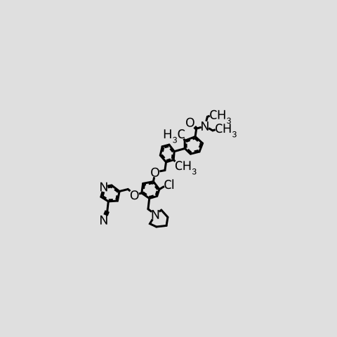 CCN(CC)C(=O)c1cccc(-c2cccc(COc3cc(OCc4cncc(C#N)c4)c(CN4CCCCC4)cc3Cl)c2C)c1C